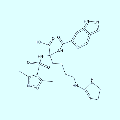 Cc1noc(C)c1S(=O)(=O)NC(CCCCNC1=NCCN1)(NC(=O)c1ccc2cn[nH]c2c1)C(=O)O